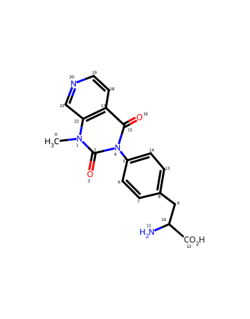 Cn1c(=O)n(-c2ccc(CC(N)C(=O)O)cc2)c(=O)c2ccncc21